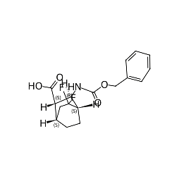 O=C(N[C@@H]1[C@@H](C(=O)O)[C@H]2CC[C@@H]1C(F)(F)C2)OCc1ccccc1